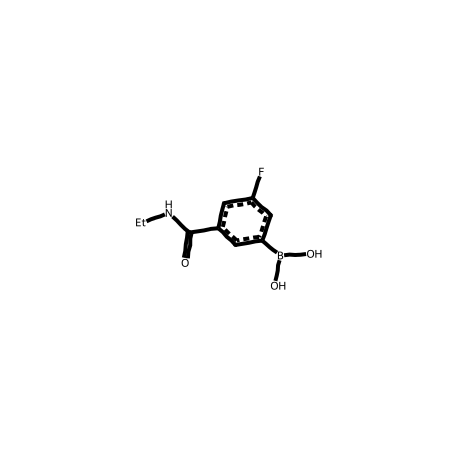 CCNC(=O)c1cc(F)cc(B(O)O)c1